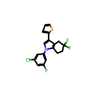 Fc1cc(Cl)cc(-n2cc(-c3cccs3)c3c2CCC(F)(F)C3)c1